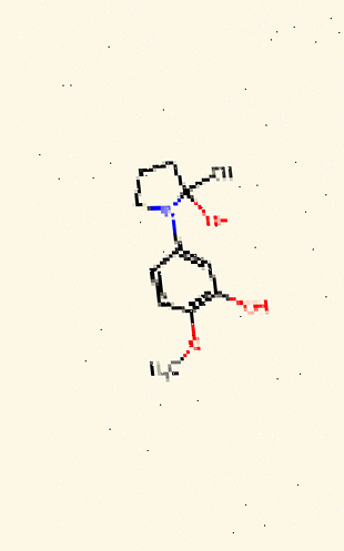 COc1ccc(N2CCCC2(C)O)cc1O